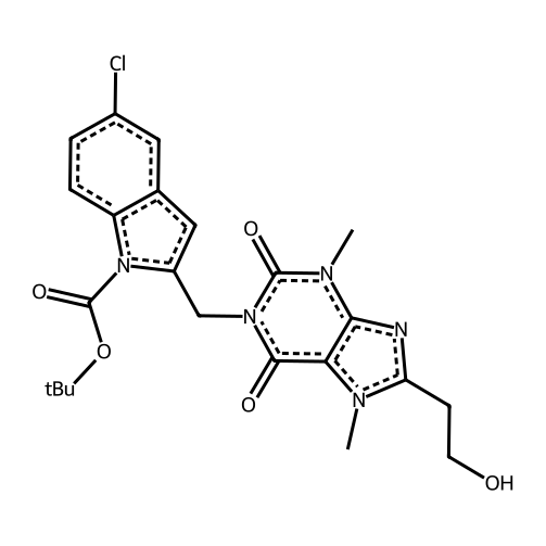 Cn1c(CCO)nc2c1c(=O)n(Cc1cc3cc(Cl)ccc3n1C(=O)OC(C)(C)C)c(=O)n2C